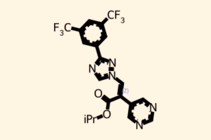 CC(C)OC(=O)/C(=C\n1cnc(-c2cc(C(F)(F)F)cc(C(F)(F)F)c2)n1)c1cncnc1